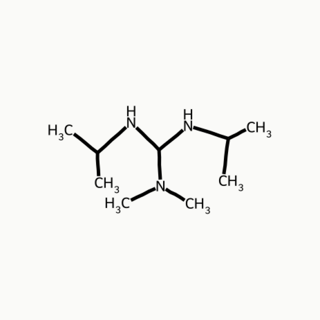 CC(C)NC(NC(C)C)N(C)C